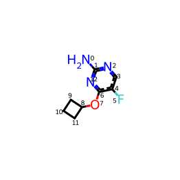 Nc1ncc(F)c(OC2CCC2)n1